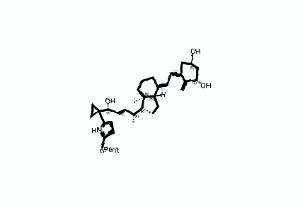 C=C1/C(=C\C=C2/CCC[C@]3(C)[C@@H]([C@H](C)/C=C/[C@@H](O)C4(c5ccc(CCCCC)[nH]5)CC4)CC[C@@H]23)C[C@@H](O)C[C@@H]1O